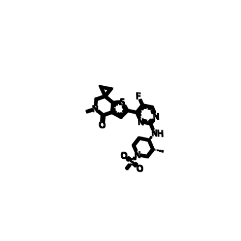 C[C@@H]1CN(S(C)(=O)=O)CC[C@@H]1Nc1ncc(F)c(-c2cc3c(s2)C2(CC2)CN(C)C3=O)n1